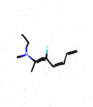 C=C/C=C\C(F)=C(/C)N(C)CC